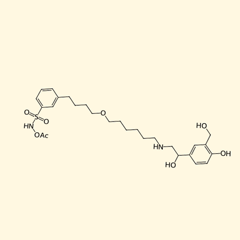 CC(=O)ONS(=O)(=O)c1cccc(CCCCOCCCCCCNCC(O)c2ccc(O)c(CO)c2)c1